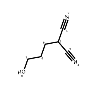 N#CC(C#N)CCCO